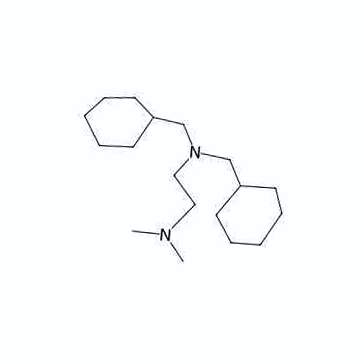 CN(C)CCN(CC1CCCCC1)CC1CCCCC1